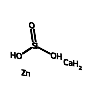 O=[Si](O)O.[CaH2].[Zn]